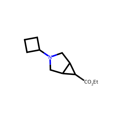 CCOC(=O)C1C2CN(C3CCC3)CC21